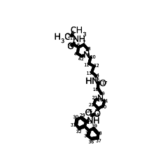 CC(C)NC(=O)C1CCN(CCCCCNC(=O)CCN2CCC(OC(=O)Nc3ccccc3-c3ccccc3)CC2)CC1